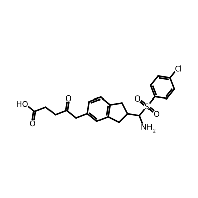 NC(C1Cc2ccc(CC(=O)CCC(=O)O)cc2C1)S(=O)(=O)c1ccc(Cl)cc1